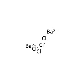 [Ba+2].[Ba+2].[Cl-].[Cl-].[Cl-].[Cl-]